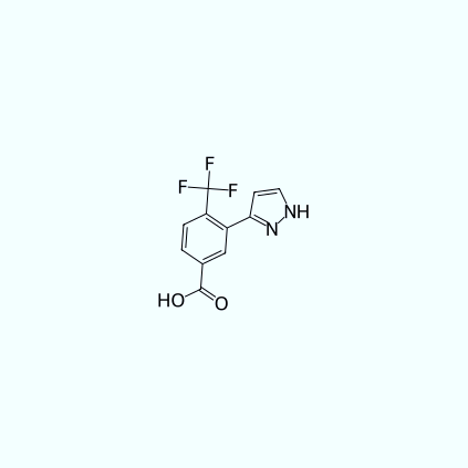 O=C(O)c1ccc(C(F)(F)F)c(-c2cc[nH]n2)c1